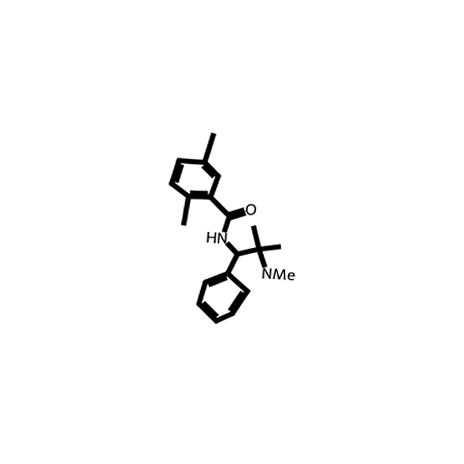 CNC(C)(C)C(NC(=O)c1cc(C)ccc1C)c1ccccc1